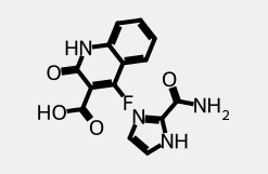 NC(=O)c1ncc[nH]1.O=C(O)c1c(F)c2ccccc2[nH]c1=O